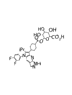 CC(C)c1c(C2CCC(C(=O)O[C@@H]3O[C@H](C(=O)O)[C@@H](O)[C@H](O)[C@H]3O)CC2)c2nc3[nH]ncc3cc2n1-c1ccc(F)c(F)c1